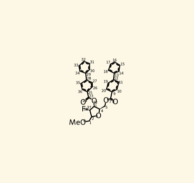 COCC1O[C@H](COC(=O)c2ccc(-c3ccccc3)cc2)[C@@H](OC(=O)c2ccc(-c3ccccc3)cc2)[C@@H]1F